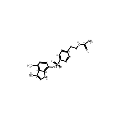 Cc1ccc(NS(=O)(=O)c2ccc(CCOC(N)=O)cc2)c2[nH]cc(C#N)c12